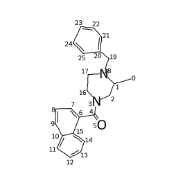 CC1CN(C(=O)c2cccc3ccccc23)CCN1Cc1ccccc1